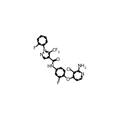 Nc1nccc(Oc2ccc(NC(=O)c3cnn(-c4ccccc4F)c3C(F)(F)F)cc2F)c1Cl